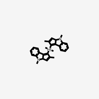 CC1=CC2C(=[C]1[Hf]([CH3])([CH3])[C]1=C3c4ccccc4N(C)C3C=C1C)c1ccccc1N2C